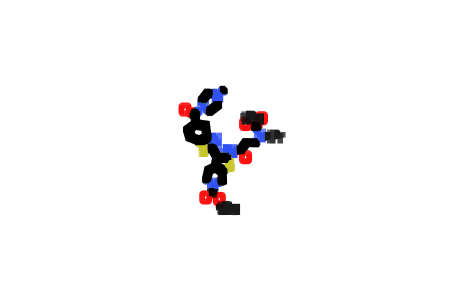 CC(C)N(CCC(=O)Nc1sc2c(c1-c1nc3cc(C(=O)N4CCN(C)CC4)ccc3s1)CCN(C(=O)OC(C)(C)C)C2)C(=O)OC(C)(C)C